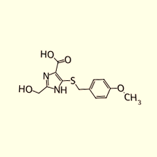 COc1ccc(CSc2[nH]c(CO)nc2C(=O)O)cc1